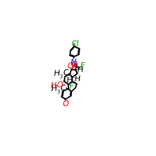 C[C@]12C=CC(=O)C=C1CC[C@H]1[C@@H]3C[C@H]4CN(c5ccc(Cl)cc5)O[C@@]4(C(=O)CF)[C@@]3(C)C[C@H](O)[C@@]12F